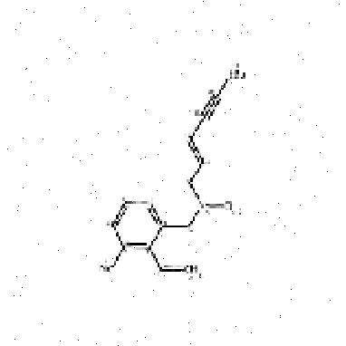 C=Cc1c(C#N)cccc1CN(C)C/C=C/C#CC(C)(C)C